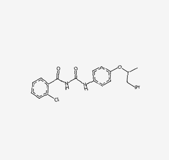 CC(C)CC(C)Oc1ccc(NC(=O)NC(=O)c2ccccc2Cl)cc1